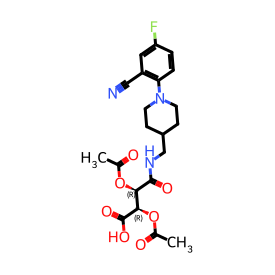 CC(=O)O[C@@H](C(=O)O)[C@@H](OC(C)=O)C(=O)NCC1CCN(c2ccc(F)cc2C#N)CC1